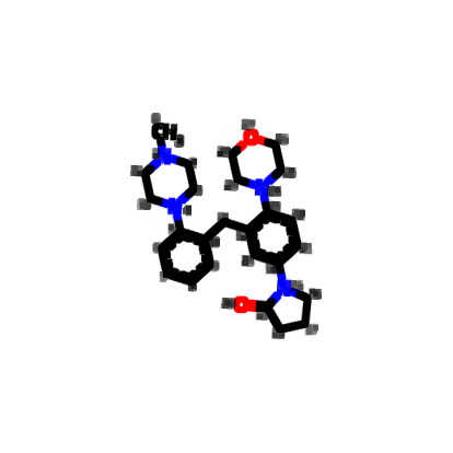 CN1CCN(c2ccccc2Cc2cc(N3CCCC3=O)ccc2N2CCOCC2)CC1